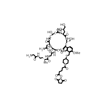 CC[C@H](C)[C@H](CCNC(=O)CN)C(=O)NCC(=O)N[C@@H]1C[S+]([O-])c2[nH]c3c(CSC4CCN(C(=O)CCCC(=O)ON5C(=O)CCC5=O)CC4)c(OC)ccc3c2C[C@@H](CO)NC(=O)[C@H]([C@@H](C)[C@@H](O)CO)NC(=O)C[C@@H](O)CNC(=O)[C@H](CC(N)=O)NC1=O